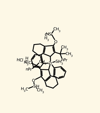 CCCC(C)(C)C1=C(O[SiH](C)C)C2=C(CCCC2)[CH]1[Zr]([SiH3])([c]1ccccc1)([c]1ccccc1)[CH]1C2=C(CCCC2)C(O[SiH](C)C)=C1C(C)(C)CCC.Cl.Cl